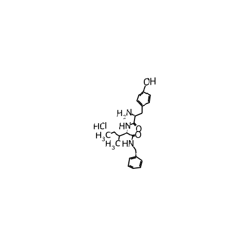 CCC(C)[C@H](NC(=O)[C@@H](N)Cc1ccc(O)cc1)C(=O)NCc1ccccc1.Cl